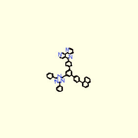 c1ccc(-c2nc(-c3ccccc3)nc(-c3cc(-c4ccc(-c5cccc6ccccc56)cc4)cc(-c4ccc(-c5nc6cccnc6c6cnccc56)cc4)c3)n2)cc1